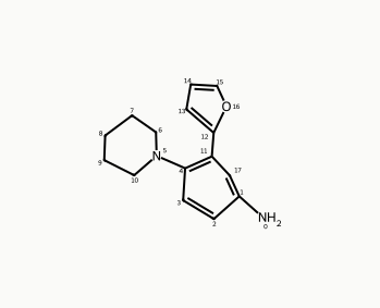 Nc1ccc(N2CCCCC2)c(-c2ccco2)c1